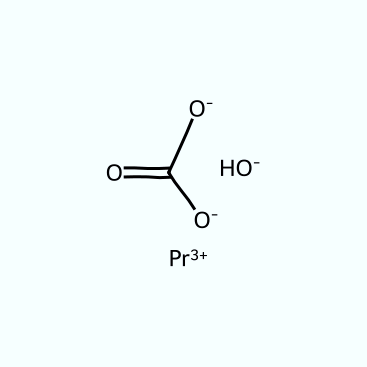 O=C([O-])[O-].[OH-].[Pr+3]